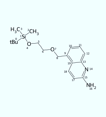 CC(C)(C)[Si](C)(C)OCCOCc1cccc2nc(N)ccc12